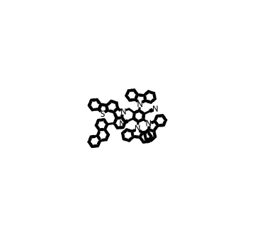 N#Cc1c(Cn2c3cccc(-c4cccc5c4ccc4ccccc45)c3c3c4sc5ccccc5c4ccc32)c(-n2c3ccccc3c3ccccc32)c(C#N)c(-n2c3ccccc3c3ccccc32)c1-n1c2ccccc2c2ccccc21